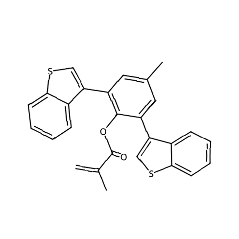 C=C(C)C(=O)Oc1c(-c2csc3ccccc23)cc(C)cc1-c1csc2ccccc12